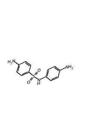 Nc1ccc(NS(=O)(=O)c2ccc(N)cc2)cc1